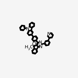 CC1(C)c2ccccc2-c2nc(-c3cccc(-c4cccnc4)c3)nc(-c3ccc(-c4ccc5c(c4)c4ccccc4n5-c4ccccc4)cc3)c21